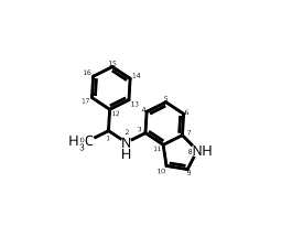 CC(Nc1cccc2[nH]ccc12)c1ccccc1